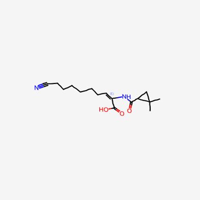 CC1(C)CC1C(=O)N/C(=C/CCCCCCC#N)C(=O)O